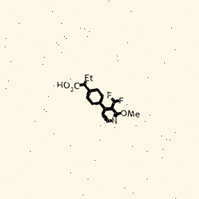 CCC(C(=O)O)C1CCC(c2ccnc(OC)c2C(F)F)CC1